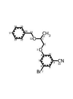 CC(COc1cc(Br)cc(C#N)c1)OCc1ccccc1